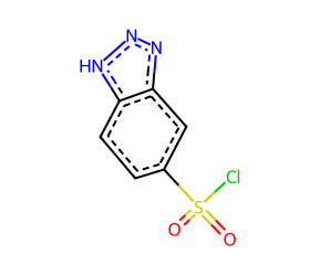 O=S(=O)(Cl)c1ccc2[nH]nnc2c1